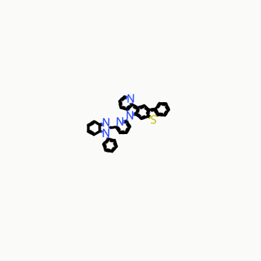 C1=CC2=NC(c3cccc(-n4c5cc6sc7ccccc7c6cc5c5ncccc54)n3)N(c3ccccc3)C2C=C1